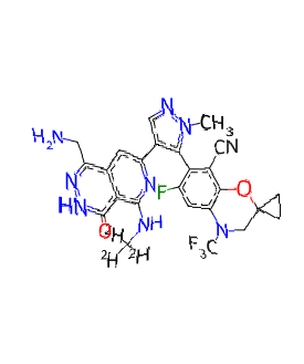 [2H]C([2H])([2H])Nc1nc(-c2cnn(C)c2-c2c(F)cc3c(c2C#N)OC2(CC2)CN3C(F)(F)F)cc2c(CN)n[nH]c(=O)c12